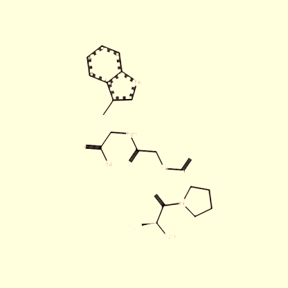 C[C@H](N)C(=O)N1CCC[C@H]1C(=O)NCC(=O)N[C@@H](Cc1c[nH]c2ccccc12)C(N)=O